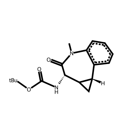 CN1C(=O)[C@@H](NC(=O)OC(C)(C)C)C2C[C@H]2c2ccccc21